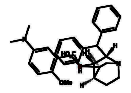 COc1ccc(N(C)C)cc1CN[C@H]1[C@@H]2CCN(C[C@@H]2OC(=O)O)[C@H]1C(c1ccccc1)c1ccccc1